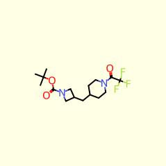 CC(C)(C)OC(=O)N1CC(CC2CCN(C(=O)C(F)(F)F)CC2)C1